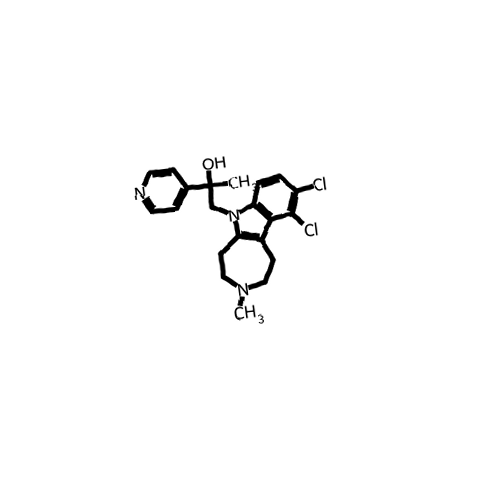 CN1CCc2c(n(CC(C)(O)c3ccncc3)c3ccc(Cl)c(Cl)c23)CC1